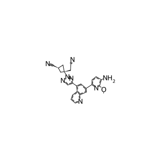 COc1nc(-c2cc(-c3cnn([C@]4(CC#N)C[C@@H](C#N)C4)n3)c3cccnc3c2)ccc1N